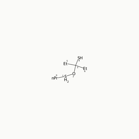 CCC[SH2]OC(S)(CC)CC